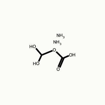 N.N.O=C(O)OC(O)O